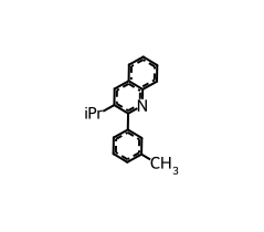 Cc1cccc(-c2nc3ccccc3cc2C(C)C)c1